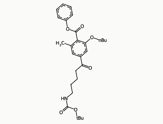 CCCCOc1cc(C(=O)CCCCNC(=O)OC(C)(C)C)cc(C)c1C(=O)Oc1ccccc1